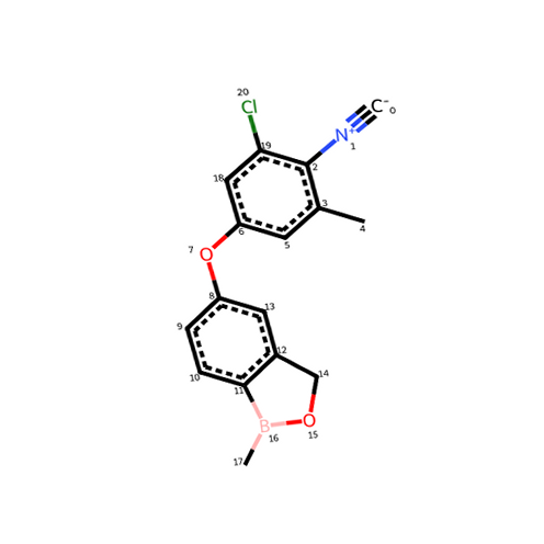 [C-]#[N+]c1c(C)cc(Oc2ccc3c(c2)COB3C)cc1Cl